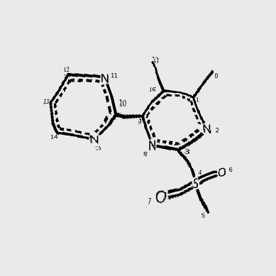 Cc1nc(S(C)(=O)=O)nc(-c2n[c]ccn2)c1C